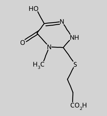 CN1C(=O)C(O)=NNC1SCCC(=O)O